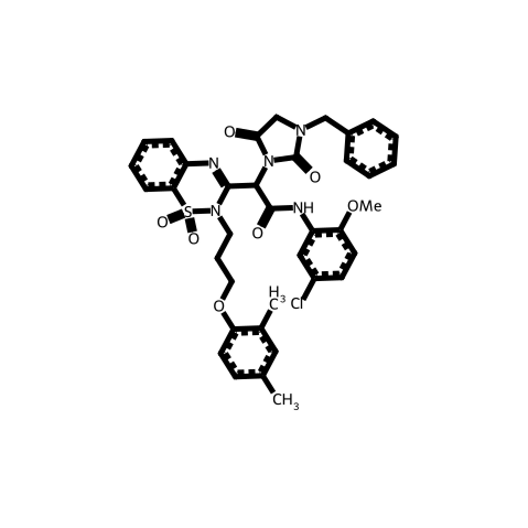 COc1ccc(Cl)cc1NC(=O)C(C1=Nc2ccccc2S(=O)(=O)N1CCCOc1ccc(C)cc1C)N1C(=O)CN(Cc2ccccc2)C1=O